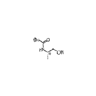 C[C@@H](CO)NC(=O)C(C)(C)C